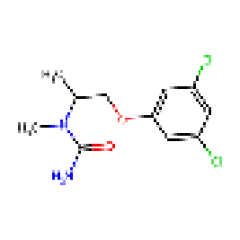 CC(COc1cc(Cl)cc(Cl)c1)N(C)C(N)=O